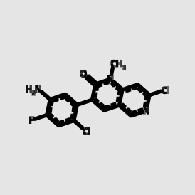 Cn1c(=O)c(-c2cc(N)c(F)cc2Cl)cc2cnc(Cl)cc21